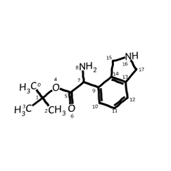 CC(C)(C)OC(=O)C(N)c1cccc2c1CNC2